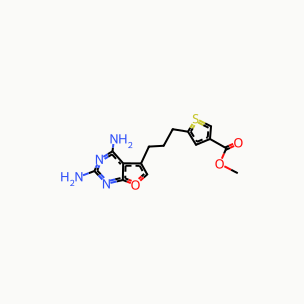 COC(=O)c1csc(CCCc2coc3nc(N)nc(N)c23)c1